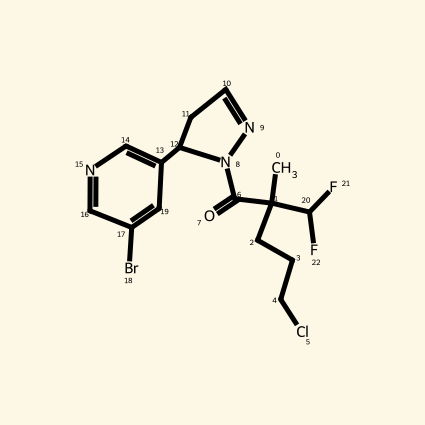 CC(CCCCl)(C(=O)N1N=CCC1c1cncc(Br)c1)C(F)F